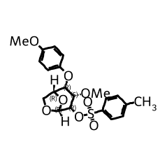 COc1ccc(O[C@H]2[C@H](OC)[C@@H](OS(=O)(=O)c3ccc(C)cc3)[C@@H]3OC[C@H]2O3)cc1